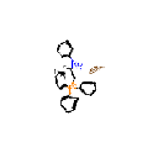 CC(C[P+](c1ccccc1)(c1ccccc1)c1ccccc1)Nc1ccccc1.[Br-]